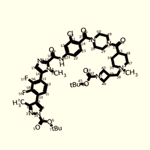 Cc1nn(C(=O)OC(C)(C)C)cc1-c1ccc(-c2cnc(C(=O)Nc3ccc(C(=O)N4CCN(C(=O)C5CC[N+](C)(CC6CN(C(=O)OC(C)(C)C)C6)CC5)CC4)c(Cl)c3)n2C)c(F)c1F